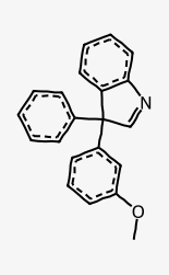 COc1cccc(C2(c3ccccc3)C=Nc3ccccc32)c1